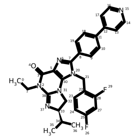 CCN1C(=O)c2nc(-c3ccc(-c4ccncc4)cc3)n(Cc3ccc(F)cc3F)c2N2C[C@@H](C(C)C)N=C12